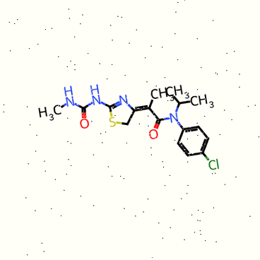 CNC(=O)NC1=NC(=C(C)C(=O)N(c2ccc(Cl)cc2)C(C)C)CS1